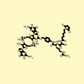 CC(C)C(NC(=O)CCCCCN1C(=O)C=CC1=O)C(=O)N[C@@H](CCCNC(N)=O)C(=O)Nc1ccc(COC(=O)NC2C3OP(=O)(O)OCC4OC(n5cnc6c(=O)[nH]c(N)nc65)C(O)C4OP(=O)(O)OCC3OC2n2cnc3c(=O)[nH]c(N)nc32)cc1